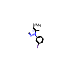 C=NN(/C(C)=C/NC)c1cccc(I)c1